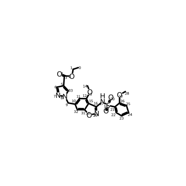 CCOC(=O)c1cnn(Cc2cc(OC)c3c(NS(=O)(=O)c4ccccc4OC)noc3c2)c1